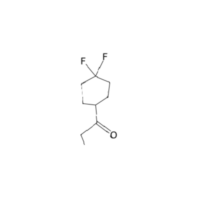 CCC(=O)C1CCC(F)(F)CC1